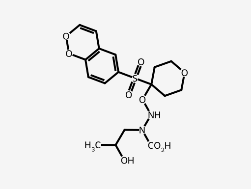 CC(O)CN(NOC1(S(=O)(=O)c2ccc3c(c2)C=COO3)CCOCC1)C(=O)O